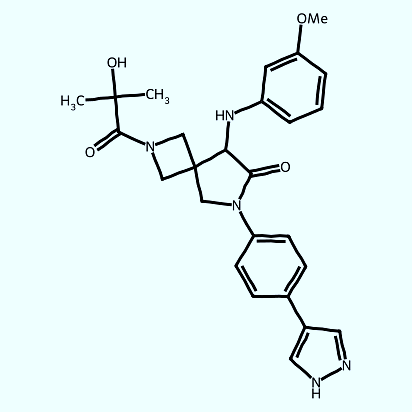 COc1cccc(NC2C(=O)N(c3ccc(-c4cn[nH]c4)cc3)CC23CN(C(=O)C(C)(C)O)C3)c1